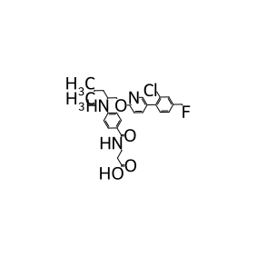 CC(C)CC(COc1ccc(-c2ccc(CF)cc2Cl)cn1)Nc1ccc(C(=O)NCCC(=O)O)cc1